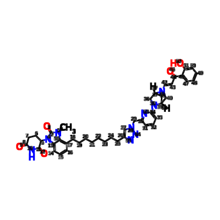 Cn1c(=O)n(C2CCC(=O)NC2=O)c2cccc(CCCCCCCCc3cn(Cc4cccc(N5C[C@H]6C[C@@H]5CN6/C=C/C(=O)c5ccccc5O)n4)nn3)c21